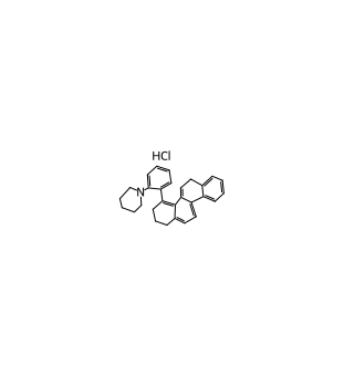 C1=c2c(ccc3c2=C(c2ccccc2N2CCCCC2)CCC3)-c2ccccc2C1.Cl